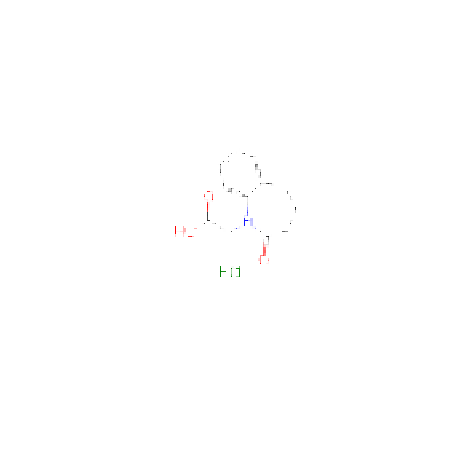 Cl.O=C(O)CN1C(=O)CCCc2ccccc21